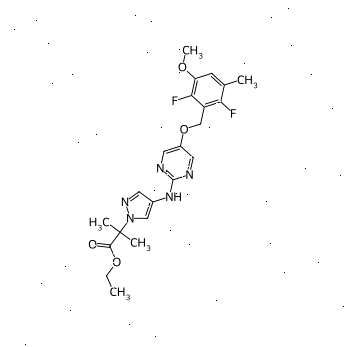 CCOC(=O)C(C)(C)n1cc(Nc2ncc(OCc3c(F)c(C)cc(OC)c3F)cn2)cn1